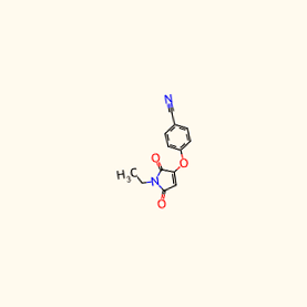 CCN1C(=O)C=C(Oc2ccc(C#N)cc2)C1=O